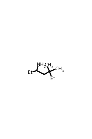 CCC(N)CC(C)(C)CC